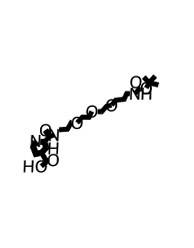 CC(C)(C)OC(=O)NCCCOCCOCCOCCCNC(=O)c1cc(C(=O)O)ccn1